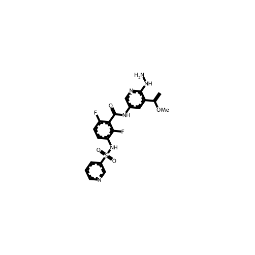 C=C(OC)c1cc(NC(=O)c2c(F)ccc(NS(=O)(=O)c3cccnc3)c2F)cnc1NN